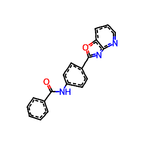 O=C(Nc1ccc(-c2nc3ncccc3o2)cc1)c1ccccc1